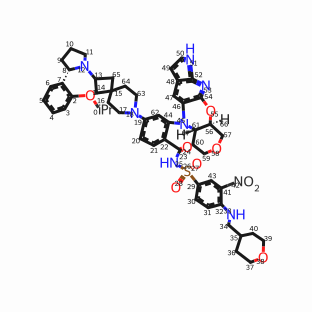 CC(C)Oc1ccccc1[C@@H]1CCCN1C1CC2(CCN(c3ccc(C(=O)NS(=O)(=O)c4ccc(NCC5CCOCC5)c([N+](=O)[O-])c4)c(N4c5cc6cc[nH]c6nc5O[C@H]5COCC[C@@H]54)c3)CC2)C1